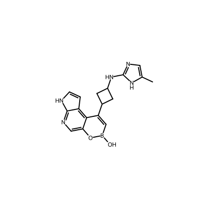 Cc1cnc(NC2CC(C3=CB(O)Oc4cnc5[nH]ccc5c43)C2)[nH]1